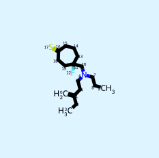 C=C(CC)CCN(CCC)CC1(F)CCCC(=S)CC1